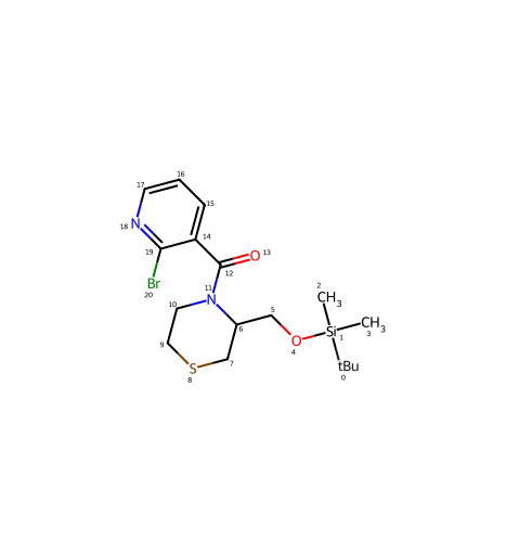 CC(C)(C)[Si](C)(C)OCC1CSCCN1C(=O)c1cccnc1Br